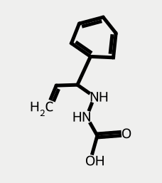 C=CC(NNC(=O)O)c1ccccc1